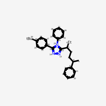 CCC(CCC(C)c1ccccc1)c1nnc(-c2ccc(C(C)(C)C)cc2)n1-c1ccccc1